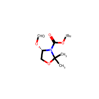 CC(C)(C)OC(=O)N1[C@@H](OC=O)COC1(C)C